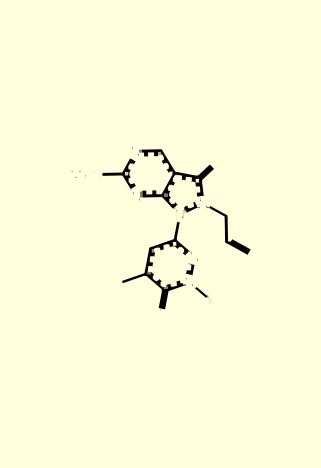 C=CCn1c(=O)c2cnc(SC)nc2n1-c1cc(C)c(=O)n(C(C)C)n1